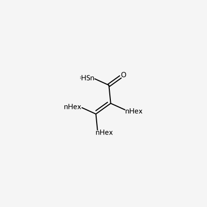 CCCCCCC(CCCCCC)=C(CCCCCC)[C](=O)[SnH]